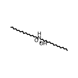 CCCCCCCCCCCCCCCCC(=O)N[C@@H](CO)CCCCCCCCCCCCCCCC